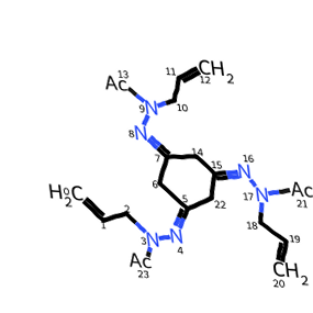 C=CCN(N=C1CC(=NN(CC=C)C(C)=O)CC(=NN(CC=C)C(C)=O)C1)C(C)=O